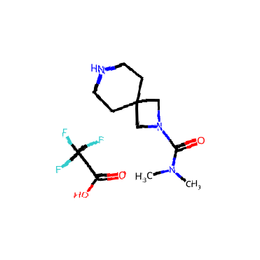 CN(C)C(=O)N1CC2(CCNCC2)C1.O=C(O)C(F)(F)F